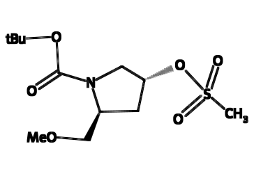 COC[C@@H]1C[C@@H](OS(C)(=O)=O)CN1C(=O)OC(C)(C)C